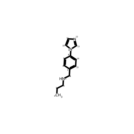 CCCNCc1ccc(-n2ccnc2)cc1